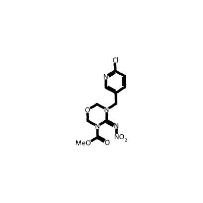 COC(=O)N1COCN(Cc2ccc(Cl)nc2)C1=N[N+](=O)[O-]